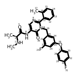 CN[C@@H](C)C(=O)Nc1cnc(-c2ccccc2C)n(Cc2cc(F)cc(Oc3ccc(F)cc3)c2)c1=O